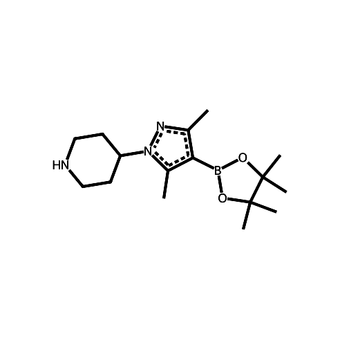 Cc1nn(C2CCNCC2)c(C)c1B1OC(C)(C)C(C)(C)O1